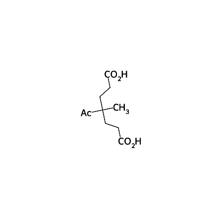 CC(=O)C(C)(CCC(=O)O)CCC(=O)O